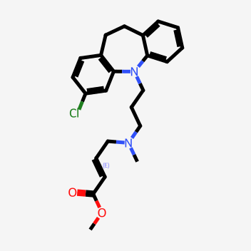 COC(=O)/C=C/CN(C)CCCN1c2ccccc2CCc2ccc(Cl)cc21